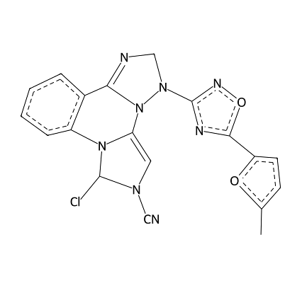 Cc1ccc(-c2nc(N3CN=C4c5ccccc5N5C(=CN(C#N)C5Cl)N43)no2)o1